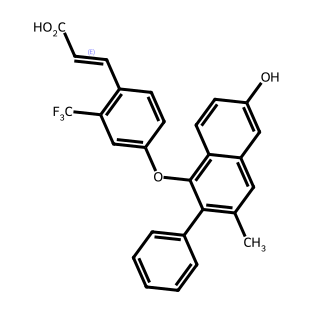 Cc1cc2cc(O)ccc2c(Oc2ccc(/C=C/C(=O)O)c(C(F)(F)F)c2)c1-c1ccccc1